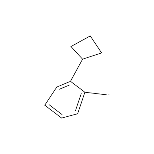 [CH2]c1ccccc1C1CCC1